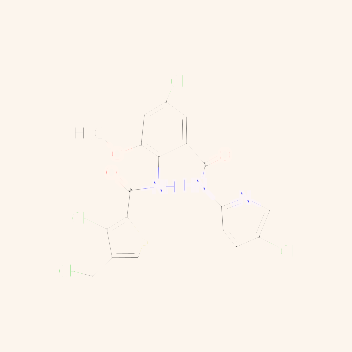 COc1cc(Cl)cc(C(=O)Nc2ccc(Cl)cn2)c1NC(=O)c1scc(CCl)c1Cl